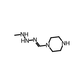 CNNN=CN1CCNCC1